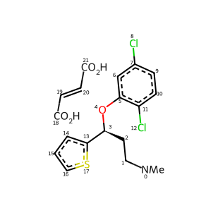 CNCC[C@H](Oc1cc(Cl)ccc1Cl)c1cccs1.O=C(O)/C=C/C(=O)O